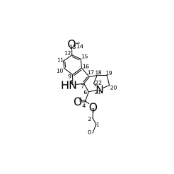 CCCOC(=O)C1c2[nH]c3ccc(OC)cc3c2C2CCN1C2